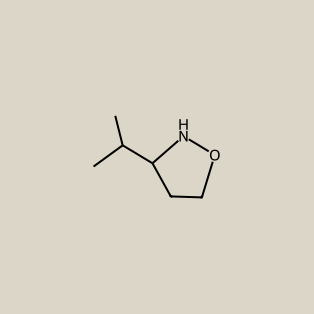 CC(C)C1CCON1